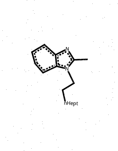 CCCCCCCCCn1c(C)nc2ccccc21